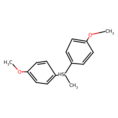 COc1ccc([SiH](C)c2ccc(OC)cc2)cc1